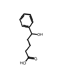 O=C(O)CCCC(O)c1ccccc1